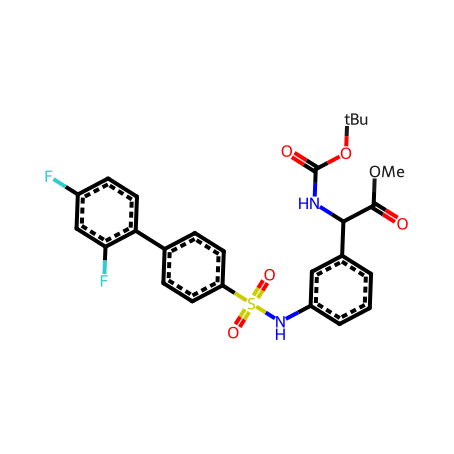 COC(=O)C(NC(=O)OC(C)(C)C)c1cccc(NS(=O)(=O)c2ccc(-c3ccc(F)cc3F)cc2)c1